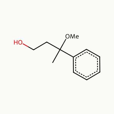 COC(C)(CCO)c1ccccc1